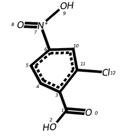 O=C(O)c1ccc([N+](=O)O)cc1Cl